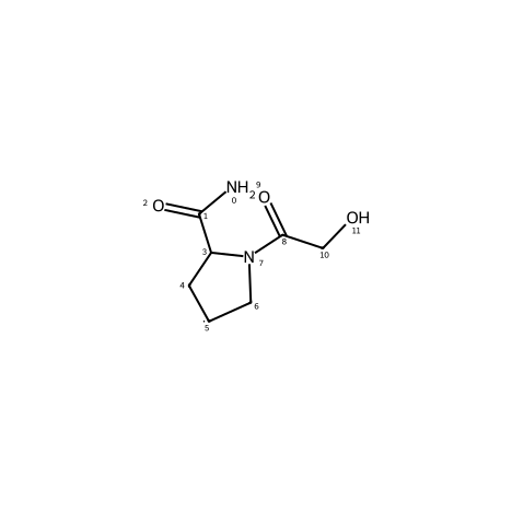 NC(=O)C1C[CH]CN1C(=O)CO